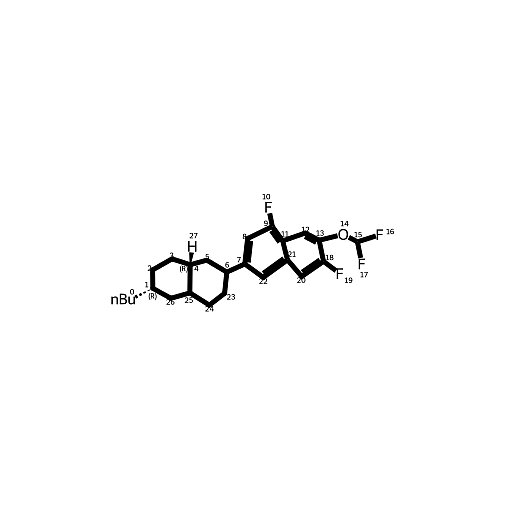 CCCC[C@@H]1CC[C@@H]2CC(c3cc(F)c4cc(OC(F)F)c(F)cc4c3)CCC2C1